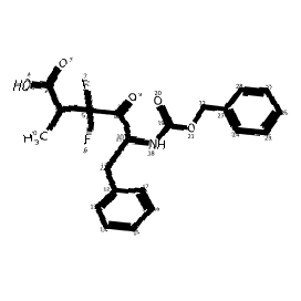 CC(C(=O)O)C(F)(F)C(=O)C(Cc1ccccc1)NC(=O)OCc1ccccc1